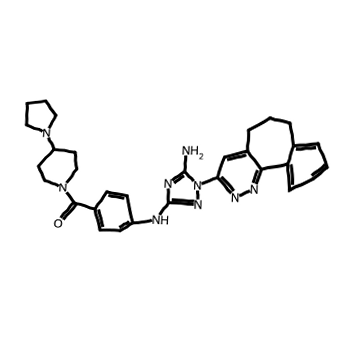 Nc1nc(Nc2ccc(C(=O)N3CCC(N4CCCC4)CC3)cc2)nn1-c1cc2c(nn1)-c1ccccc1CCC2